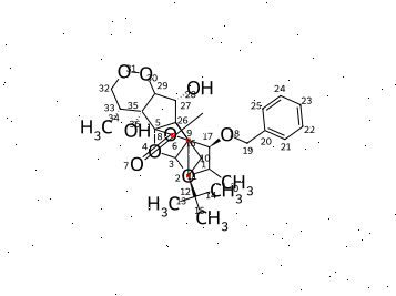 CC1OC2OC34C(=O)OC5C[C@@H](C(C)(C)C)C2([C@H]1OCc1ccccc1)C53[C@@H](O)C1OOC[C@@H](C)[C@@]14O